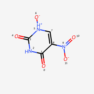 O=C1NC(=O)[NH+]([O-])C=C1[N+](=O)[O-]